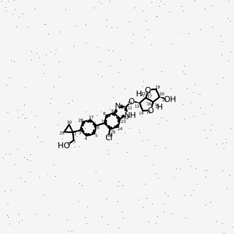 OCC1(c2ccc(-c3cc4nc(O[C@@H]5CO[C@H]6[C@@H]5OC[C@H]6O)[nH]c4cc3Cl)cc2)CC1